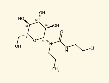 CCCN(C(=O)NCCCl)[C@@H]1O[C@H](CO)[C@@H](O)[C@H](O)[C@H]1O